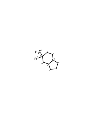 CC(C)C1(C)CCN2CCCC2C1